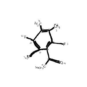 Cc1c(C)c(F)c(C(=O)C(=O)O)c(F)c1F